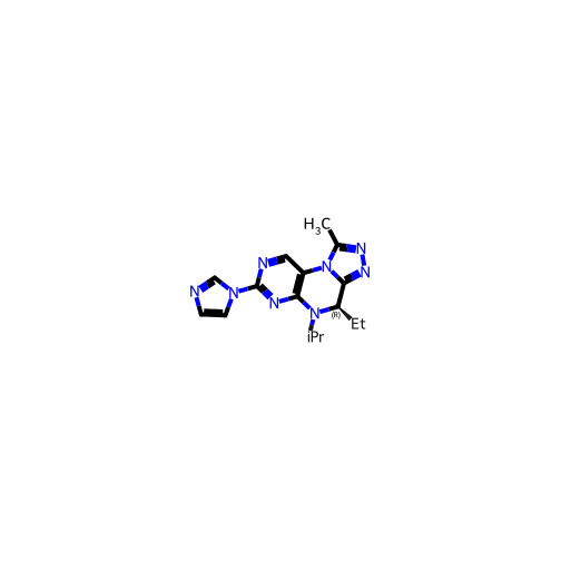 CC[C@@H]1c2nnc(C)n2-c2cnc(-n3ccnc3)nc2N1C(C)C